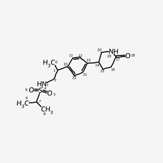 CC(CNS(=O)(=O)C(C)C)c1ccc(C2CCC(=O)NC2)cc1